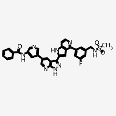 CS(=O)(=O)NCc1cc(F)cc(-c2nccc3[nH]c(-c4n[nH]c5ncc(-c6cncc(NC(=O)c7ccccc7)c6)cc45)cc23)c1